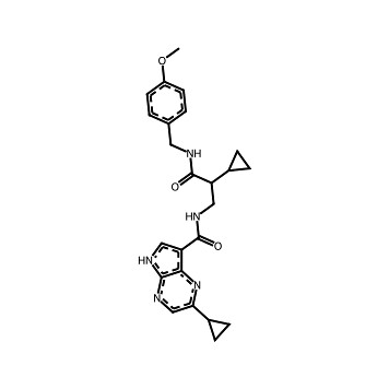 COc1ccc(CNC(=O)C(CNC(=O)c2c[nH]c3ncc(C4CC4)nc23)C2CC2)cc1